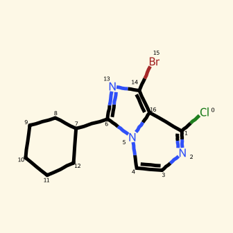 Clc1nccn2c(C3CCCCC3)nc(Br)c12